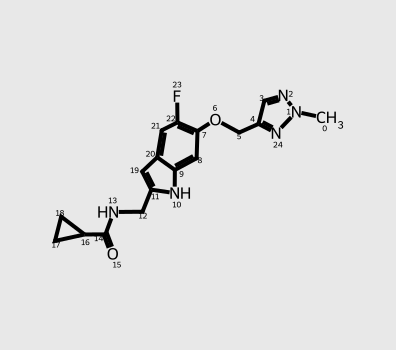 Cn1ncc(COc2cc3[nH]c(CNC(=O)C4CC4)cc3cc2F)n1